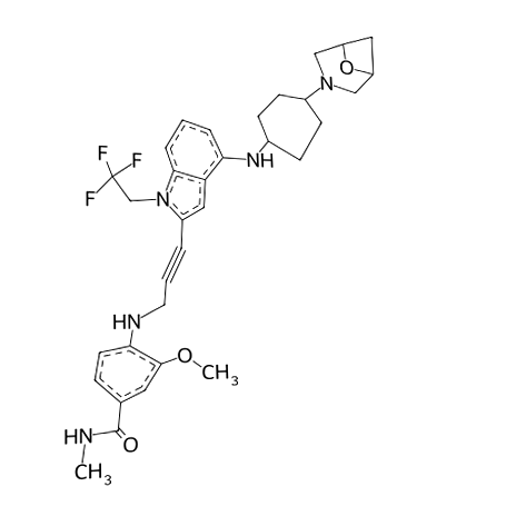 CNC(=O)c1ccc(NCC#Cc2cc3c(NC4CCC(N5CC6CC(C5)O6)CC4)cccc3n2CC(F)(F)F)c(OC)c1